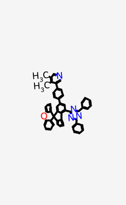 Cc1cncc(-c2ccc(-c3cc(-c4nc(-c5ccccc5)nc(-c5ccccc5)n4)c4c(c3)C3(c5ccccc5Oc5ccccc53)c3ccccc3-4)cc2)c1C